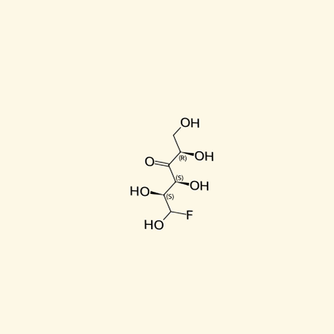 O=C([C@H](O)CO)[C@@H](O)[C@H](O)C(O)F